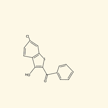 O=C(c1ccccc1)c1sc2cc(Cl)ccc2c1O